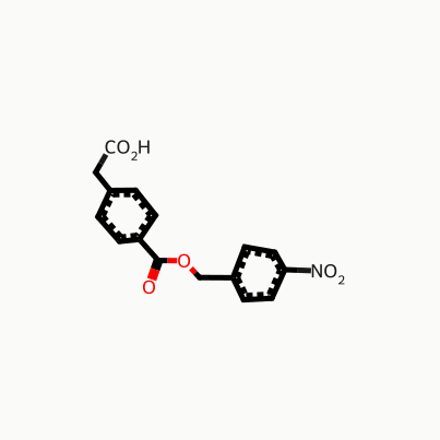 O=C(O)Cc1ccc(C(=O)OCc2ccc([N+](=O)[O-])cc2)cc1